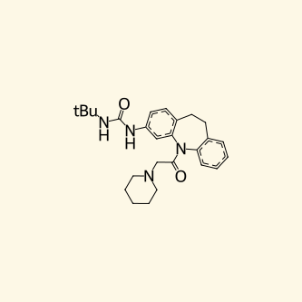 CC(C)(C)NC(=O)Nc1ccc2c(c1)N(C(=O)CN1CCCCC1)c1ccccc1CC2